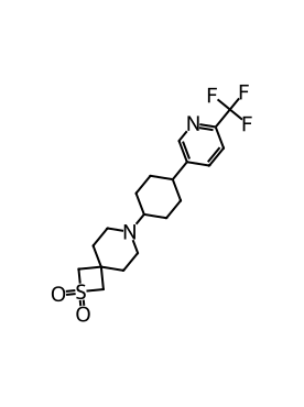 O=S1(=O)CC2(CCN(C3CCC(c4ccc(C(F)(F)F)nc4)CC3)CC2)C1